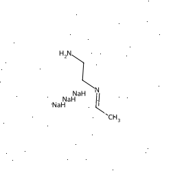 CC=NCCN.[NaH].[NaH].[NaH]